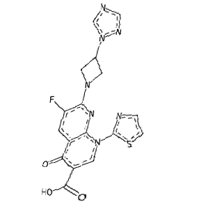 O=C(O)c1cn(-c2nccs2)c2nc(N3CC(n4cncn4)C3)c(F)cc2c1=O